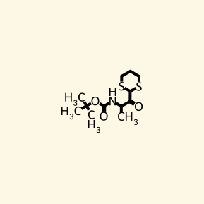 CC(NC(=O)OC(C)(C)C)C(=O)C1SCCCS1